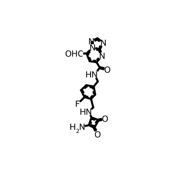 Nc1c(NCc2cc(CNC(=O)c3cc(C=O)n4ncnc4n3)ccc2F)c(=O)c1=O